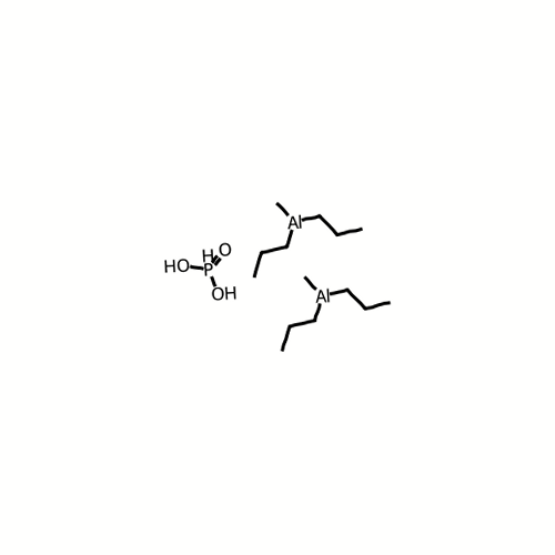 CC[CH2][Al]([CH3])[CH2]CC.CC[CH2][Al]([CH3])[CH2]CC.O=[PH](O)O